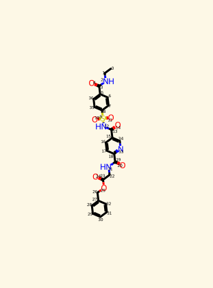 CCNC(=O)c1ccc(S(=O)(=O)NC(=O)c2ccc(C(=O)NCC(=O)OCc3ccccc3)nc2)cc1